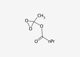 CCCC(=O)OC1(C)OO1